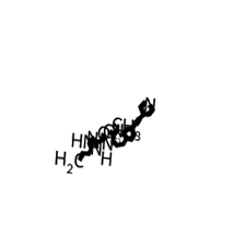 C=CCc1nc(C(=O)N[C@H]2CCc3ccc(C#Cc4ccncc4)cc3N(C)C2=O)n[nH]1